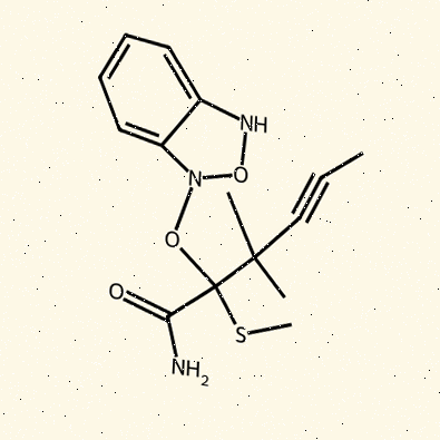 CC#CC(C)(C)C(ON1ONc2ccccc21)(SC)C(N)=O